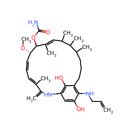 C=CCNc1c(O)cc2c(O)c1CCCC(C)C(C)C(C)/C=C(\C)C(OC(N)=O)[C@@H](OC)/C=C\C=C(/C)C(=C)N2